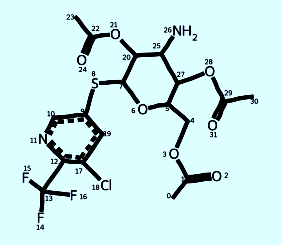 CC(=O)OCC1OC(Sc2cnc(C(F)(F)F)c(Cl)c2)C(OC(C)=O)C(N)C1OC(C)=O